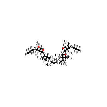 CCCC(C)(OC(F)(F)C(F)(F)C(F)(F)F)C(F)(C(F)(F)F)C(F)(F)OC(C)(CC)C(F)(C(=O)C(C)(C)OCCC(C)(C)OC(=O)C(F)(C(C)OC(F)(F)C(F)(C(F)(F)F)C(C)(CC)OC(F)(F)C(F)(F)C(F)(F)F)C(F)(F)F)C(F)(F)F